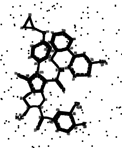 C[C@H]1Cn2c(c(C(=O)NCc3ccccc3-c3cc(N)cnn3)n(-c3ccc(OC4CC4)cc3)c2=O)CN1C(=O)c1ccc(Br)c(C(F)(F)F)c1